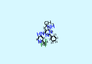 CC1Cc2c(Nc3ccnc(C(F)(F)F)c3)nc(-c3ccccc3)nc2N1